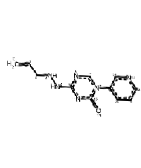 C=CCNNc1ncn(-c2cccnc2)c(=O)n1